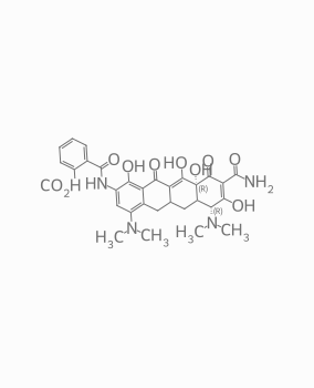 CN(C)c1cc(NC(=O)c2ccccc2C(=O)O)c(O)c2c1CC1CC3[C@@H](N(C)C)C(O)=C(C(N)=O)C(=O)[C@]3(O)C(O)=C1C2=O